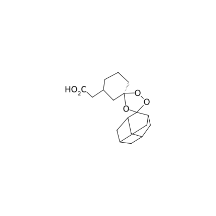 O=C(O)CC1CCC[C@]2(C1)OOC1(O2)C2CC3CC(C2)CC1C3